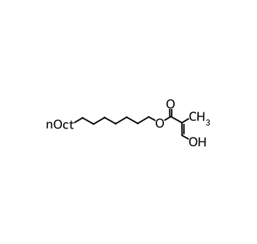 CCCCCCCCCCCCCCCOC(=O)C(C)=CO